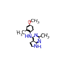 COc1ccc(Nc2nc(C)nc3[nH]ccc23)c(C)c1